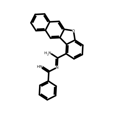 N=C(/N=C(\N)c1cccc2oc3cc4ccccc4cc3c12)c1ccccc1